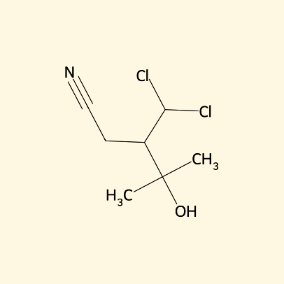 CC(C)(O)C(CC#N)C(Cl)Cl